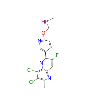 CPCOc1ccc(-c2nc3c(Cl)c(Cl)c(C)nc3cc2F)cn1